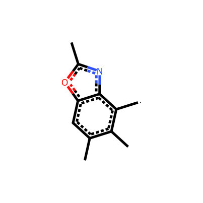 [CH2]c1c(C)c(C)cc2oc(C)nc12